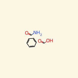 NC=O.O=CO.c1ccccc1